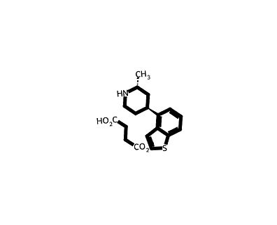 C[C@@H]1C[C@@H](c2cccc3sccc23)CCN1.O=C(O)CCC(=O)O